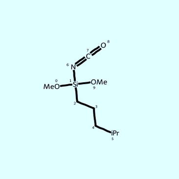 CO[Si](CCCC(C)C)(N=C=O)OC